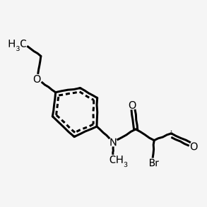 CCOc1ccc(N(C)C(=O)C(Br)[C]=O)cc1